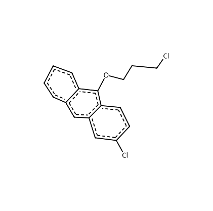 ClCCCOc1c2ccccc2cc2cc(Cl)ccc12